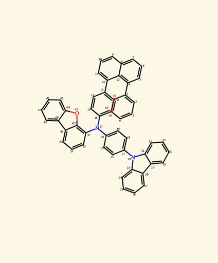 c1ccc(-c2cccc3cccc(-c4ccc(N(c5ccc(-n6c7ccccc7c7ccccc76)cc5)c5cccc6c5oc5ccccc56)cc4)c23)cc1